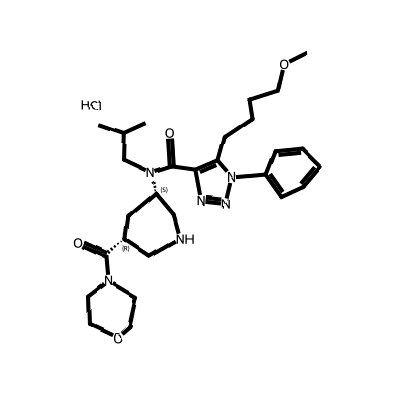 COCCCCc1c(C(=O)N(CC(C)C)[C@@H]2CNC[C@H](C(=O)N3CCOCC3)C2)nnn1-c1ccccc1.Cl